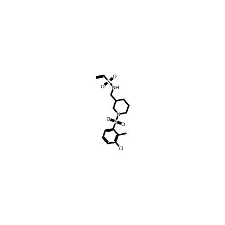 C=CS(=O)(=O)NCC1CCCN(S(=O)(=O)c2cccc(Cl)c2F)C1